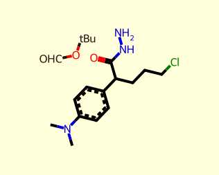 CC(C)(C)OC=O.CN(C)c1ccc(C(CCCCl)C(=O)NN)cc1